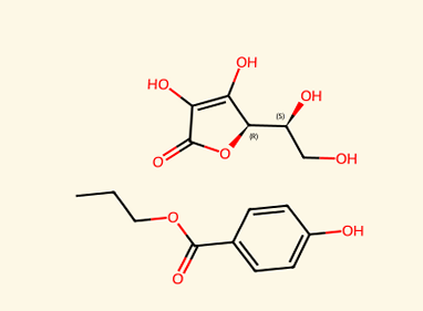 CCCOC(=O)c1ccc(O)cc1.O=C1O[C@H]([C@@H](O)CO)C(O)=C1O